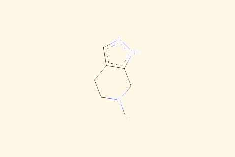 CCC(C)N1CCc2cn[nH]c2C1